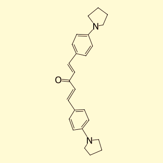 O=C(C=Cc1ccc(N2CCCC2)cc1)C=Cc1ccc(N2CCCC2)cc1